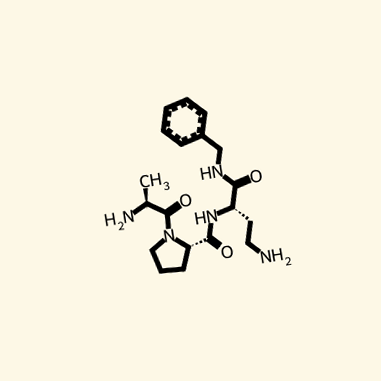 C[C@H](N)C(=O)N1CCC[C@H]1C(=O)N[C@@H](CCN)C(=O)NCc1ccccc1